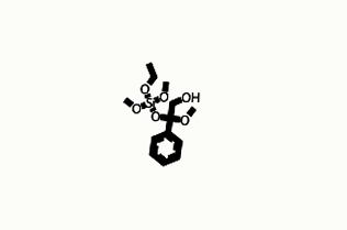 CCO[Si](OC)(OC)OC(CO)(OC)c1ccccc1